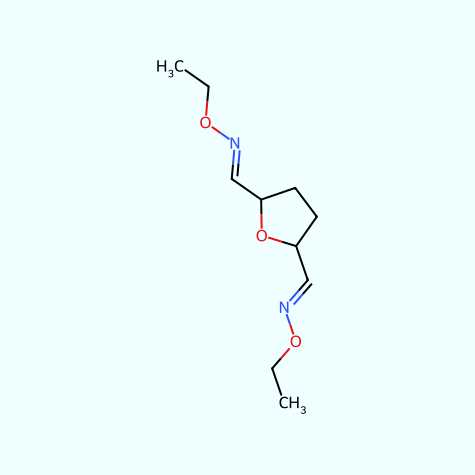 CCON=CC1CCC(C=NOCC)O1